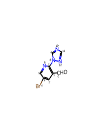 O=Cc1cc(Br)cnc1-n1cncn1